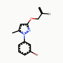 C=C(CC)COc1cc(C)n(-c2cccc(Br)c2)n1